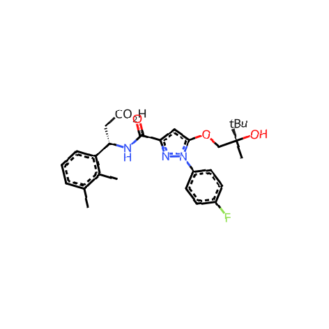 Cc1cccc([C@H](CC(=O)O)NC(=O)c2cc(OC[C@@](C)(O)C(C)(C)C)n(-c3ccc(F)cc3)n2)c1C